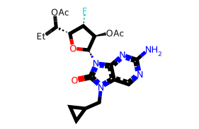 CCC(OC(C)=O)[C@H]1O[C@@H](n2c(=O)n(CC3CC3)c3cnc(N)nc32)[C@H](OC(C)=O)[C@H]1F